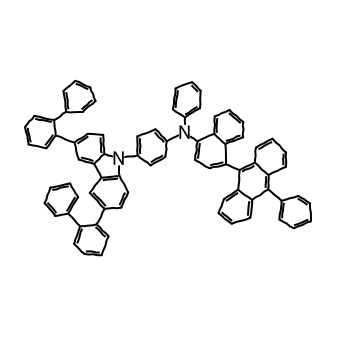 c1ccc(-c2ccccc2-c2ccc3c(c2)c2cc(-c4ccccc4-c4ccccc4)ccc2n3-c2ccc(N(c3ccccc3)c3ccc(-c4c5ccccc5c(-c5ccccc5)c5ccccc45)c4ccccc34)cc2)cc1